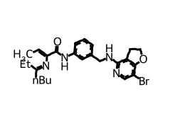 C/C=C(\N=C(/CC)CCCC)C(=O)Nc1cccc(CNc2ncc(Br)c3c2CCO3)c1